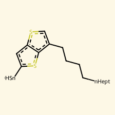 CCCCCCCCCCCc1csc2c[c]([SnH])sc12